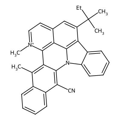 CCC(C)(C)c1cc2cc[n+](C)c3c4c(C)c5ccccc5c(C#N)c4n4c5ccccc5c1c4c23